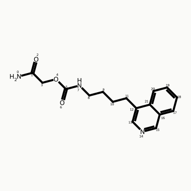 NC(=O)COC(=O)NCCCCc1cncc2ccccc12